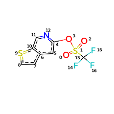 O=S(=O)(Oc1cc2ccsc2cn1)C(F)(F)F